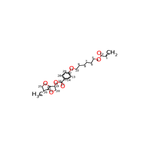 C=CC(=O)OCCCCCCOc1ccc(C(=O)O[C@H]2COC3C2OC[C@@H]3C)cc1